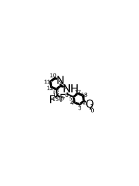 COc1ccc(CNc2ncccc2C(F)F)cc1